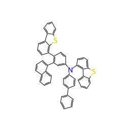 c1ccc(-c2ccc(N(c3ccc(-c4cccc5c4sc4ccccc45)c(-c4cccc5ccccc45)c3)c3cccc4sc5ccccc5c34)cc2)cc1